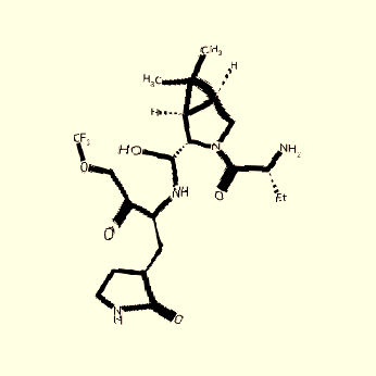 CC[C@@H](N)C(=O)N1C[C@H]2[C@@H]([C@H]1C(O)N[C@@H](C[C@@H]1CCNC1=O)C(=O)COC(F)(F)F)C2(C)C